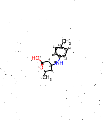 CCCC(CC(=O)O)Nc1ccc(C)cc1